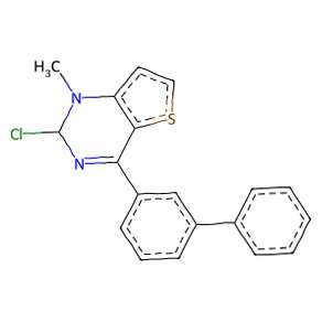 CN1c2ccsc2C(c2cccc(-c3ccccc3)c2)=NC1Cl